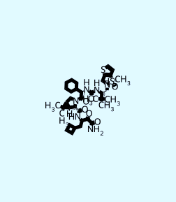 CC(C)(C)[C@@H](CN1Cc2sccc2[SH]1(C)=O)NC(=O)N[C@H](C(=O)N1CC2[C@@H]([C@H]1C(=O)NC(CC1CCC1)C(=O)C(N)=O)C2(C)C)C1CCCCC1